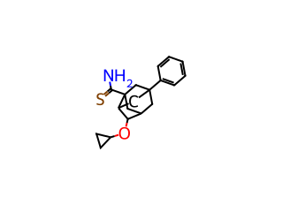 NC(=S)C12CC3CC(c4ccccc4)(CC1C3OC1CC1)C2